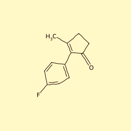 CC1=C(c2ccc(F)cc2)C(=O)CC1